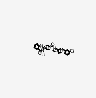 O=C(N1CCN(c2nc3ccccc3c(=O)[nH]2)CC1)N1CC[C@]2(CCN(Cc3cccc(Cl)c3)C2)C1